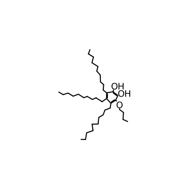 CCCCCCCCCCc1c(O)c(O)c(OCCCC)c(CCCCCCCCCC)c1CCCCCCCCCC